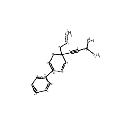 C=CCC1(C#CC(C)O)C=CC(c2ccccc2)=CC1